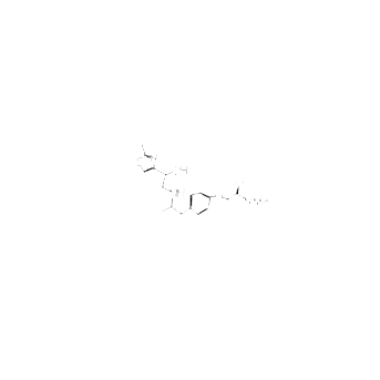 CNC(=O)COc1ccc(CC(C)NCC(O)c2csc(C)n2)cc1